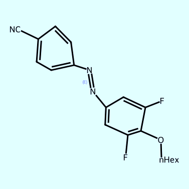 CCCCCCOc1c(F)cc(/N=N/c2ccc(C#N)cc2)cc1F